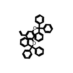 C=Cc1cc(OC(c2ccccc2)(c2ccccc2)c2ccccc2)cc(OC(c2ccccc2)(c2ccccc2)c2ccccc2)c1